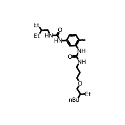 CCCCC(CC)COCCCNC(=O)Nc1cc(NC(=O)NCC(CC)CC)ccc1C